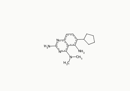 CN(C)c1nc(N)nc2ccc(C3CCCC3)c(N)c12